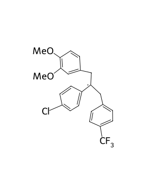 COc1ccc(C[C](Cc2ccc(C(F)(F)F)cc2)c2ccc(Cl)cc2)cc1OC